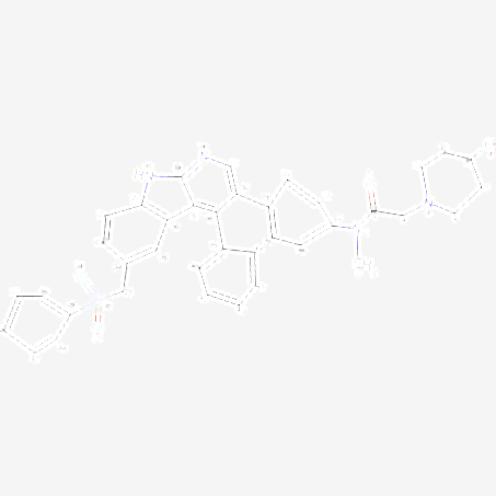 CN(C(=O)CN1CCC(O)CC1)c1ccc(-c2cnc3[nH]c4ccc(CS(=O)(=O)c5ccccc5)cc4c3c2-c2ccccc2)cc1